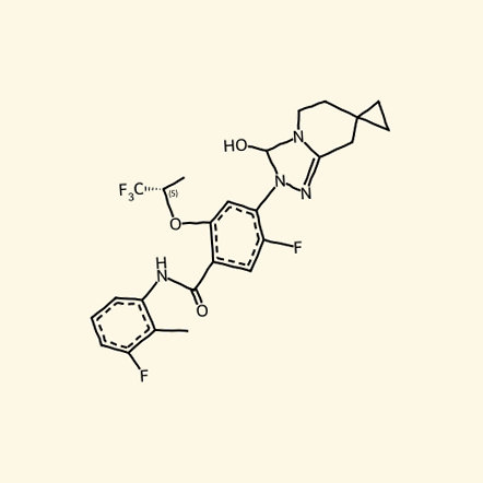 Cc1c(F)cccc1NC(=O)c1cc(F)c(N2N=C3CC4(CCN3C2O)CC4)cc1O[C@@H](C)C(F)(F)F